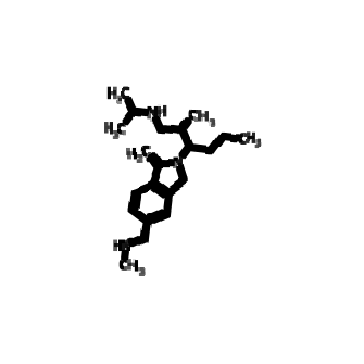 C=C1c2ccc(CNC)cc2CN1C(CCC)C(C)CNC(C)C